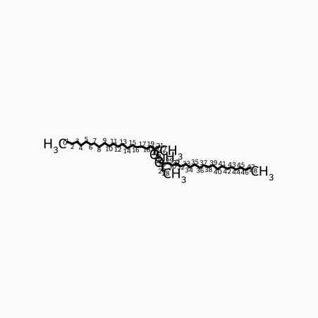 CCCCCCCCCCCCCCCCCCCCC(CC)O[SiH2]OC(CC)CCCCCCCCCCCCCCCCCCCC